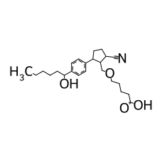 CCCCCC(O)c1ccc(C2CCC(C#N)C2COCCCCC(=O)O)cc1